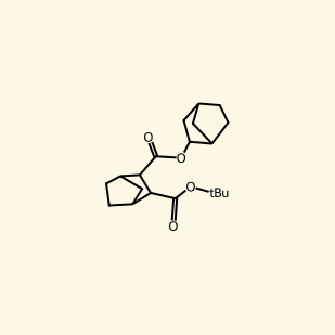 CC(C)(C)OC(=O)C1C2CCC(C2)C1C(=O)OC1CC2CCC1C2